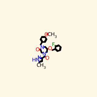 COc1ccc(CN2CC(OCc3ccccc3F)CN(C(=O)c3cc(C)[nH]n3)CC2=O)cc1